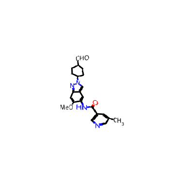 COc1cc2nn(C3CCC(C=O)CC3)cc2cc1NC(=O)c1cncc(C)c1